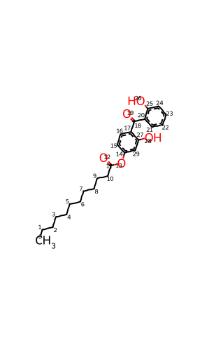 CCCCCCCCCCCC(=O)Oc1ccc(C(=O)c2ccccc2O)c(O)c1